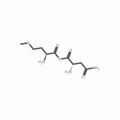 CSCC[C@H](N)C(=O)OC(=O)[C@@H](N)CC(N)=O